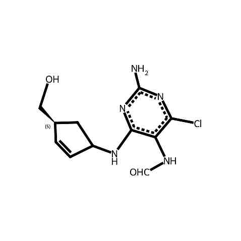 Nc1nc(Cl)c(NC=O)c(NC2C=C[C@@H](CO)C2)n1